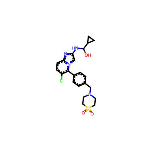 O=S1(=O)CCN(Cc2ccc(-c3c(Cl)ccc4nc(NC(O)C5CC5)cn34)cc2)CC1